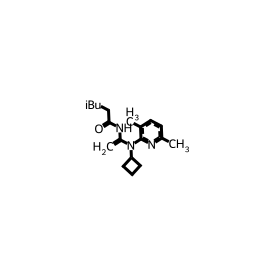 C=C(NC(=O)CC(C)CC)N(c1nc(C)ccc1C)C1CCC1